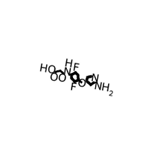 Nc1cc(Oc2cc(F)c(NC(=O)CC(=O)O)cc2F)ccn1